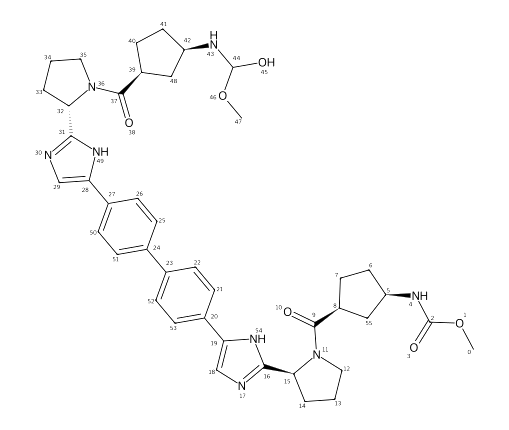 COC(=O)N[C@@H]1CC[C@H](C(=O)N2CCC[C@H]2c2ncc(-c3ccc(-c4ccc(-c5cnc([C@@H]6CCCN6C(=O)[C@H]6CC[C@@H](NC(O)OC)C6)[nH]5)cc4)cc3)[nH]2)C1